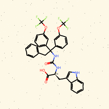 O=C(N[C@@H](Cc1c[nH]c2ccccc12)C(=O)O)NC(Cc1ccccc1)(c1cccc(OC(F)(F)F)c1)c1cccc(OC(F)(F)F)c1